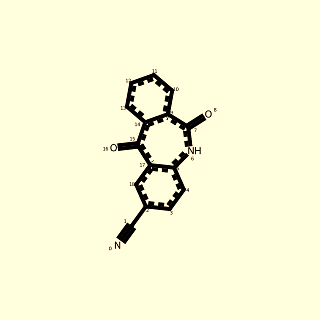 N#Cc1ccc2[nH]c(=O)c3ccccc3c(=O)c2c1